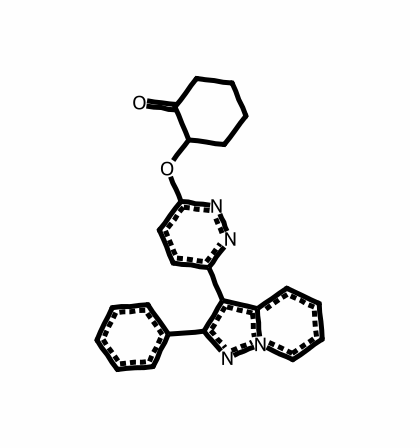 O=C1CCCCC1Oc1ccc(-c2c(-c3ccccc3)nn3ccccc23)nn1